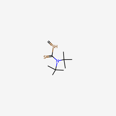 C=[SH]C(=S)N(C(C)(C)C)C(C)(C)C